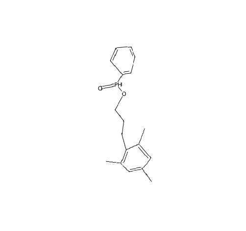 Cc1cc(C)c(CCCO[PH](=O)c2ccccc2)c(C)c1